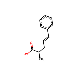 C[C@H](C/C=C/c1ccccc1)C(=O)O